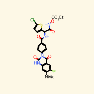 CCOC(=O)ONC(=O)C(NC(=O)c1ccc(-n2c(=O)[nH]c3cc(NC)c(F)cc3c2=O)cc1)c1ccc(Cl)s1